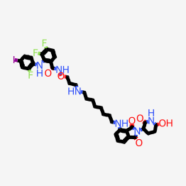 O=C(NOCCCNCCCCCCCCNc1cccc2c1C(=O)N(C1CCC(O)NC1=O)C2=O)c1ccc(F)c(F)c1Nc1ccc(I)cc1F